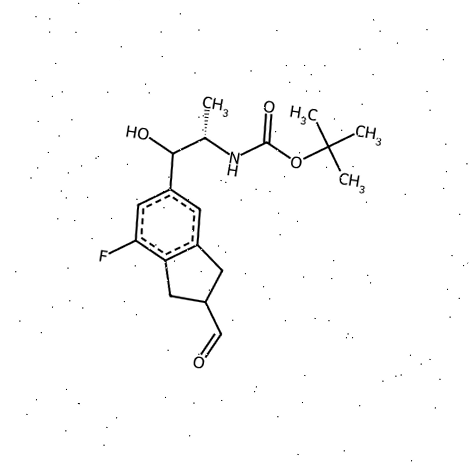 C[C@H](NC(=O)OC(C)(C)C)C(O)c1cc(F)c2c(c1)CC(C=O)C2